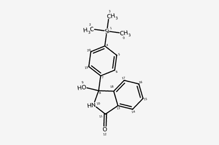 C[Si](C)(C)c1ccc(C2(O)NC(=O)c3ccccc32)cc1